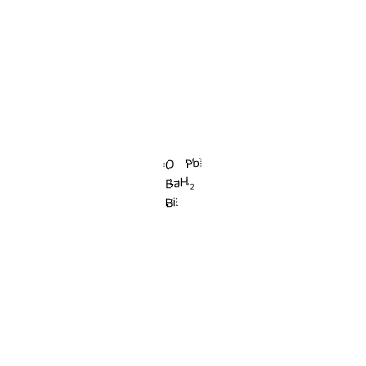 [BaH2].[Bi].[O].[Pb]